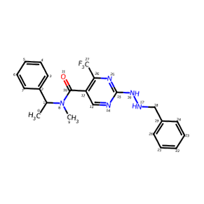 CC(c1ccccc1)N(C)C(=O)c1cnc(NNCc2ccccc2)nc1C(F)(F)F